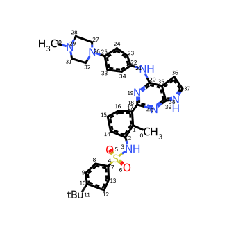 Cc1c(NS(=O)(=O)c2ccc(C(C)(C)C)cc2)cccc1-c1nc(Nc2ccc(N3CCN(C)CC3)cc2)c2cc[nH]c2n1